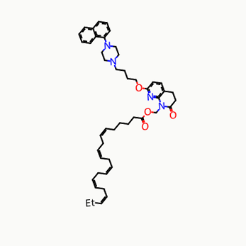 CC/C=C\C/C=C\C/C=C\C/C=C\C/C=C\CCCCC(=O)OCN1C(=O)CCc2ccc(OCCCCN3CCN(c4cccc5ccccc45)CC3)nc21